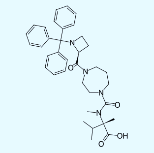 CC(C)[C@@](C)(C(=O)O)N(C)C(=O)N1CCCN(C(=O)[C@@H]2CCN2C(c2ccccc2)(c2ccccc2)c2ccccc2)CC1